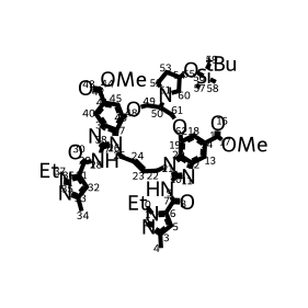 CCn1nc(C)cc1C(=O)Nc1nc2cc(C(=O)OC)cc3c2n1C/C=C/Cn1c(NC(=O)c2cc(C)nn2CC)nc2cc(C(=O)OC)cc(c21)OCC(N1CCC(O[Si](C)(C)C(C)(C)C)C1)CO3